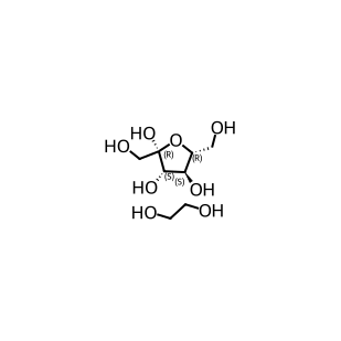 OCCO.OC[C@H]1O[C@](O)(CO)[C@@H](O)[C@@H]1O